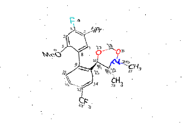 COc1cc(F)c(C(C)C)cc1-c1ccc(C(F)(F)F)cc1[C@H]1OCON(C)[C@@H]1C